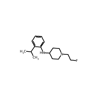 CC(C)c1ccccc1NC1CCN(CCF)CC1